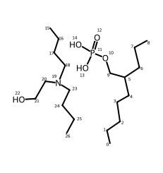 CCCCCC(CCC)COP(=O)(O)O.CCCCN(CCO)CCCC